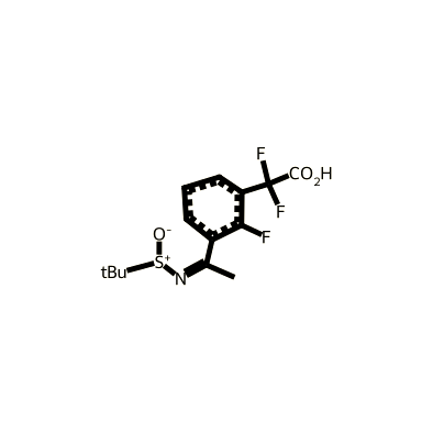 C/C(=N/[S+]([O-])C(C)(C)C)c1cccc(C(F)(F)C(=O)O)c1F